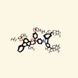 COc1ccc(C2(c3ccc(-n4c5ccc(C(C)(C)C)cc5c5cc(C(C)(C)C)ccc54)cc3)C=Cc3c(C)c4c5c(c6c(cc5c3O2)SC(C)(C)O6)-c2ccccc2-4)cc1